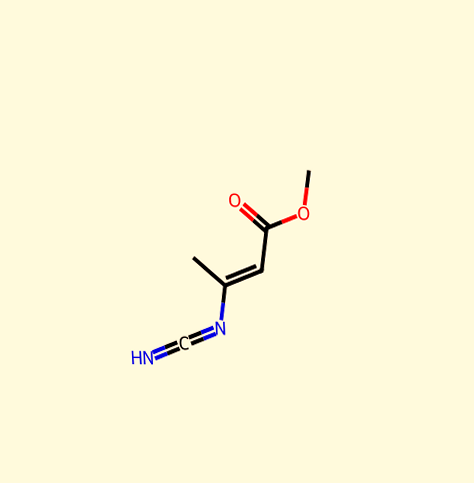 COC(=O)/C=C(\C)N=C=N